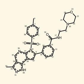 Cc1ccc(S(=O)(=O)n2c(-c3cccc(C(=O)NCCN4CCOCC4)c3)cc3c4[nH]nc(C)c4cnc32)cc1